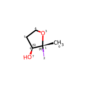 C[C@]1(I)OCC[C@@H]1O